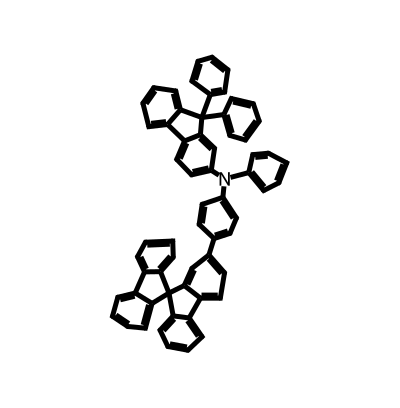 c1ccc(N(c2ccc(-c3ccc4c(c3)C3(c5ccccc5-c5ccccc53)c3ccccc3-4)cc2)c2ccc3c(c2)C(c2ccccc2)(c2ccccc2)c2ccccc2-3)cc1